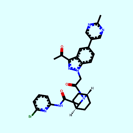 CC(=O)c1nn(CC(=O)N2C(C(=O)Nc3cccc(Br)n3)[C@H]3CC[C@H]2CC3)c2ccc(-c3cnc(C)nc3)cc12